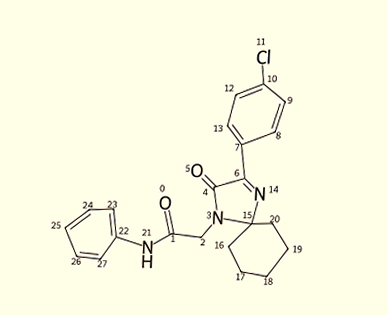 O=C(CN1C(=O)C(c2ccc(Cl)cc2)=NC12CCCCC2)Nc1ccccc1